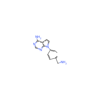 C=C(/C=C\C(=C/C)n1ccc2c(N)ncnc21)CN